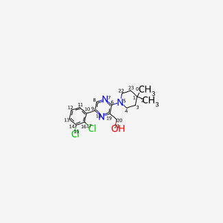 CC1(C)CCN(c2ncc(-c3cccc(Cl)c3Cl)nc2CO)CC1